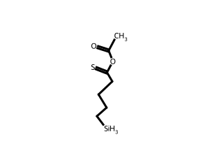 CC(=O)OC(=S)CCCC[SiH3]